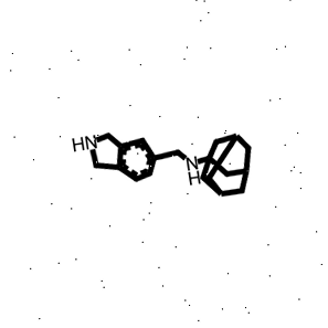 c1cc2c(cc1CNC13CC4CC(CC(C4)C1)C3)CNC2